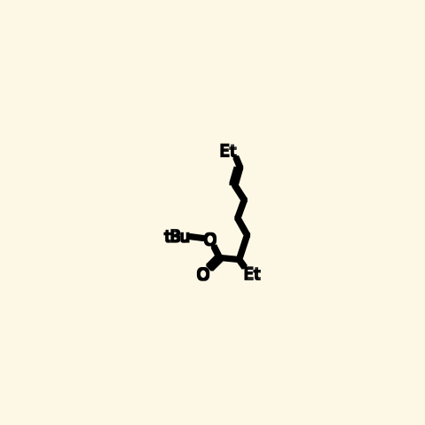 CCC=CCCCC(CC)C(=O)OC(C)(C)C